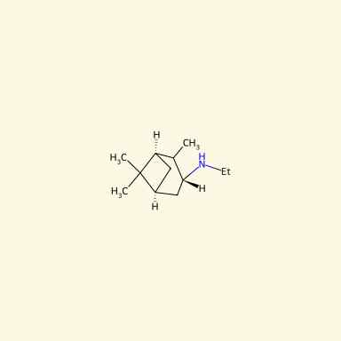 CCN[C@@H]1C[C@@H]2C[C@H](C1C)C2(C)C